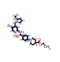 CCOC(=O)C1(F)CCN(c2ccc(C(O)Nc3cc(CN4CCC[C@H]4C(F)(F)F)c(Br)cn3)cc2)CC1